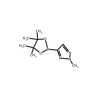 Cn1ncc(B2OC(C)(C)C(C)(C)O2)n1